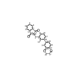 Cc1c(CN2C(=O)c3ccccc3C2=O)cccc1-c1ccc2c(c1)OCCO2